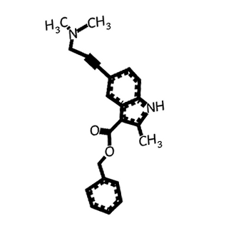 Cc1[nH]c2ccc(C#CCN(C)C)cc2c1C(=O)OCc1ccccc1